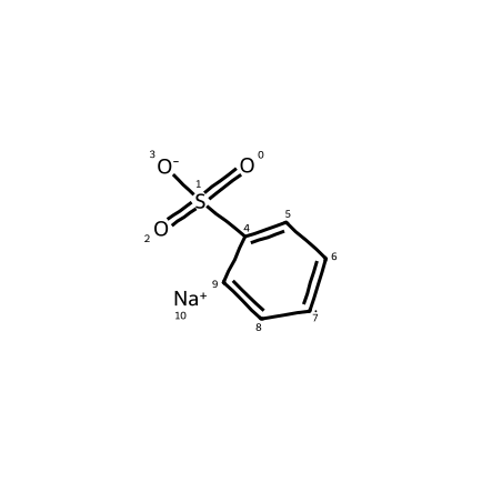 O=S(=O)([O-])c1cc[c]cc1.[Na+]